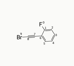 Fc1ccccc1C#CBr